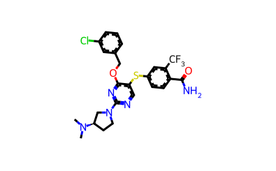 CN(C)[C@@H]1CCN(c2ncc(Sc3ccc(C(N)=O)c(C(F)(F)F)c3)c(OCc3cccc(Cl)c3)n2)C1